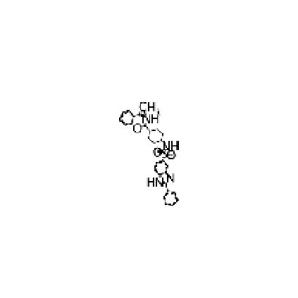 C[C@H](NC(=O)C1CCC(NS(=O)(=O)c2ccc3[nH]c(-c4ccccc4)nc3c2)CC1)c1ccccc1